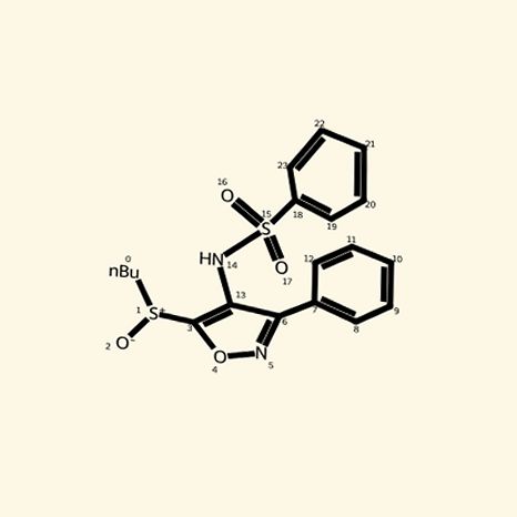 CCCC[S+]([O-])c1onc(-c2ccccc2)c1NS(=O)(=O)c1ccccc1